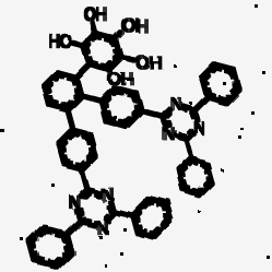 Oc1c(O)c(O)c(-c2cccc(-c3ccc(-c4nc(-c5ccccc5)nc(-c5ccccc5)n4)cc3)c2-c2ccc(-c3nc(-c4ccccc4)nc(-c4ccccc4)n3)cc2)c(O)c1O